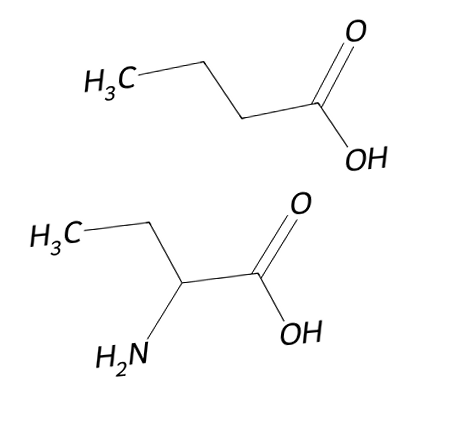 CCC(N)C(=O)O.CCCC(=O)O